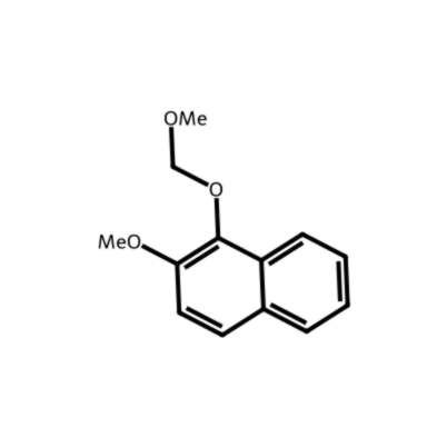 COCOc1c(OC)ccc2ccccc12